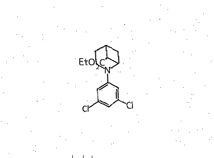 CCOC(=O)C1C2CCN(c3cc(Cl)cc(Cl)c3)C1C2